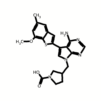 COc1cc(C)cc2cc(-c3cn(CC4CCN(C(=O)O)C4)c4ncnc(N)c34)sc12